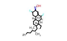 CC(C)CCC[C@@H](C)[C@H]1CC[C@H]2[C@@H]3CC(F)C4=C/C(=N\O)C(F)C[C@]4(C)[C@H]3CC[C@]12C